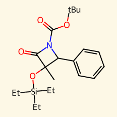 CC[Si](CC)(CC)OC1(C)C(=O)N(C(=O)OC(C)(C)C)C1c1ccccc1